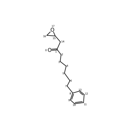 O=C(CCCCCCc1ccccc1)CC1CO1